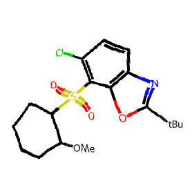 COC1CCCCC1S(=O)(=O)c1c(Cl)ccc2nc(C(C)(C)C)oc12